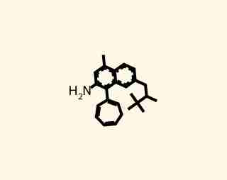 Cc1cc(N)c(C2=CCC=CC=C2)c2cc(CC(C)C(C)(C)C)ccc12